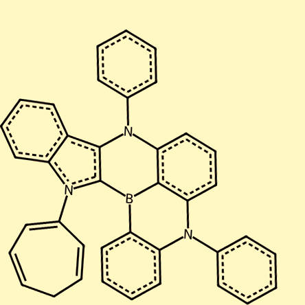 C1=CCC=CC(n2c3c(c4ccccc42)N(c2ccccc2)c2cccc4c2B3c2ccccc2N4c2ccccc2)=C1